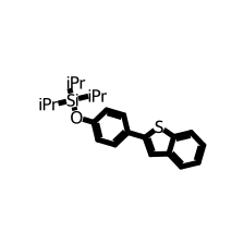 CC(C)[Si](Oc1ccc(-c2cc3ccccc3s2)cc1)(C(C)C)C(C)C